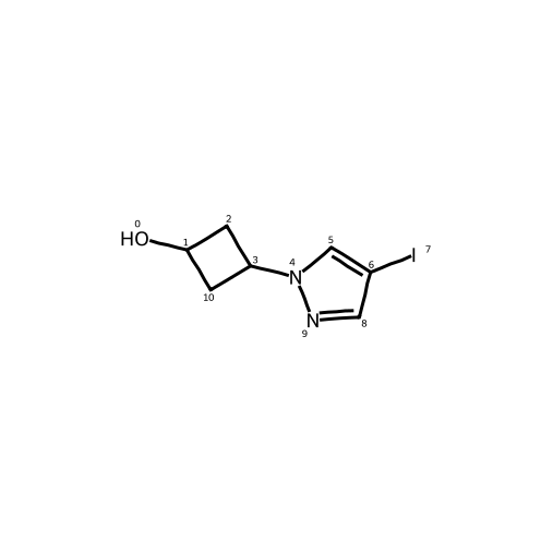 OC1CC(n2cc(I)cn2)C1